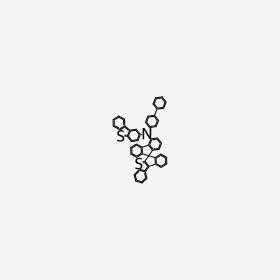 c1ccc(-c2ccc(N(c3ccc4sc5ccccc5c4c3)c3cccc4c3-c3ccccc3C43c4ccccc4-c4c3sc3ccccc43)cc2)cc1